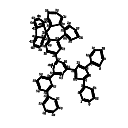 c1ccc(-c2cc(-c3ccccc3)cc(-c3cc(-c4ccc5c(c4)-c4ccccc4-c4ccccc4C54c5ccccc5-c5ccccc54)nc(-c4cccc(-c5ccccc5)c4)n3)c2)cc1